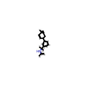 C#CCC(/C=C\CC)c1cccc(C(C)(C)NC(=C)C)c1